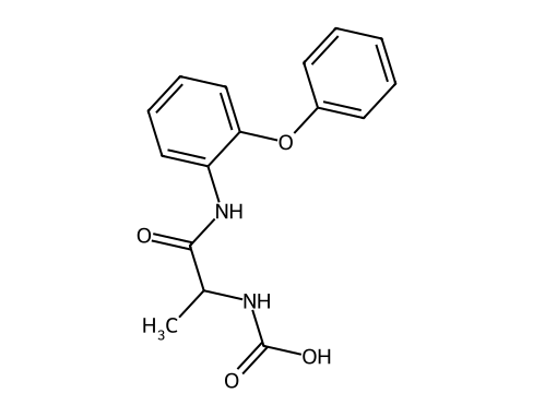 CC(NC(=O)O)C(=O)Nc1ccccc1Oc1ccccc1